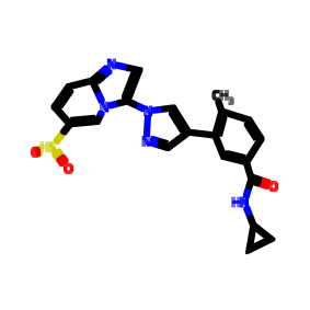 Cc1ccc(C(=O)NC2CC2)cc1-c1cnn(-c2cnc3ccc([SH](=O)=O)cn23)c1